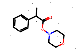 CC(C(=O)ON1CCOCC1)c1ccccc1